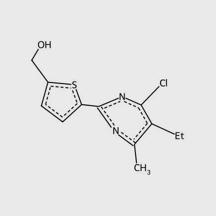 CCc1c(C)nc(-c2ccc(CO)s2)nc1Cl